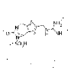 N=C(N)NCc1nc2c(s1)C1CN(C2)C(=O)N1S(=O)(=O)O